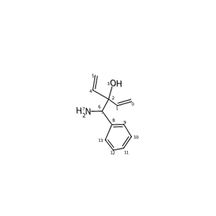 C=CC(O)(C=C)[C](N)c1ccccc1